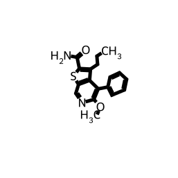 CCCc1c(C(N)=O)sc2cnc(OC)c(-c3ccccc3)c12